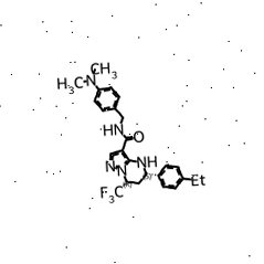 CCc1ccc([C@@H]2C[C@H](C(F)(F)F)n3ncc(C(=O)NCc4ccc(N(C)C)cc4)c3N2)cc1